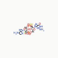 Nc1nc2c(ncn2[C@@H]2O[C@@H]3COP(=O)(O)O[C@@H]4C(F)[C@H](n5cnc6c(N)ccnc65)O[C@@H]4CO[P@](=O)(S)O[C@H]2C3O)c(=O)[nH]1